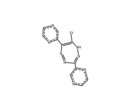 CCC1=C(c2cnccn2)N=NC(c2cnccn2)=NN1